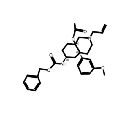 C=CCN1CC[C@@]2(c3cccc(OC)c3)C[C@@H](NC(=O)OCc3ccccc3)CC[C@]2(OC(C)=O)C1